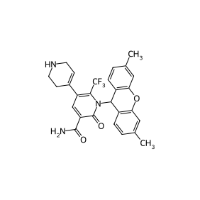 Cc1ccc2c(c1)Oc1cc(C)ccc1C2n1c(C(F)(F)F)c(C2=CCNCC2)cc(C(N)=O)c1=O